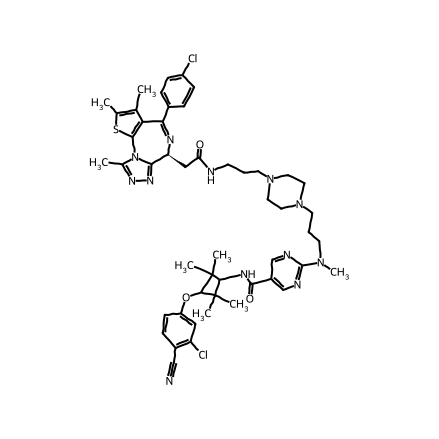 Cc1sc2c(c1C)C(c1ccc(Cl)cc1)=N[C@@H](CC(=O)NCCCN1CCN(CCCN(C)c3ncc(C(=O)NC4C(C)(C)C(Oc5ccc(C#N)c(Cl)c5)C4(C)C)cn3)CC1)c1nnc(C)n1-2